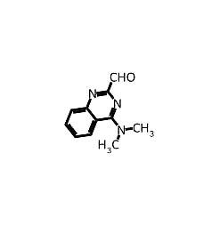 CN(C)c1nc(C=O)nc2ccccc12